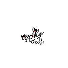 [2H]C([2H])([2H])Oc1cc([C@H](Cc2c(Cl)c[n+]([O-])cc2Cl)c2cc(CN(C(=O)O[C@H]3CN4CCC3CC4)c3ccccc3OC)ccc2C(=O)O)ccc1OC(F)F